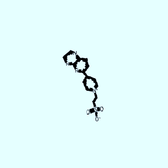 O=S(=O)([O-])CC[n+]1ccc(-c2ccc3nccnc3n2)cc1